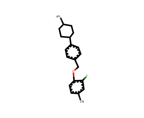 CCCC1CCC(c2ccc(COc3ccc(C#N)cc3F)cc2)CC1